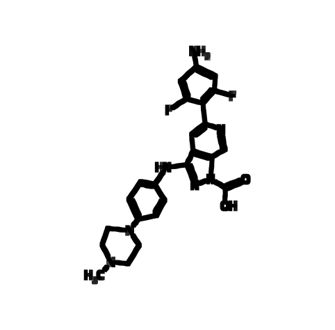 CN1CCN(c2ccc(Nc3nn(C(=O)O)c4cnc(-c5c(F)cc(N)cc5F)cc34)cc2)CC1